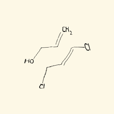 C=CCO.ClC=CCCl